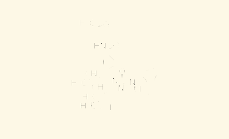 CC(=O)CCNC(=O)c1ccc([C@@H](CCC(C)(C)C)N2C(=O)C(N(C)Cc3ccccc3)=NC23CCC(C(C)(C)C)CC3)cc1